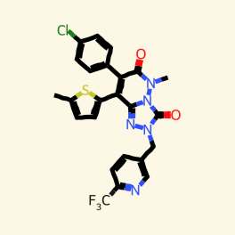 Cc1ccc(-c2c(-c3ccc(Cl)cc3)c(=O)n(C)n3c(=O)n(Cc4ccc(C(F)(F)F)nc4)nc23)s1